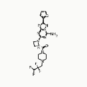 Nc1nc(N2CC[C@H]2C(=O)N2CCN(CC(F)(F)C(F)F)CC2)nc2nc(-c3ccco3)nn12